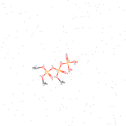 CCCCOP(=O)(OCCCC)OP(=O)(OCCCC)OP(=O)(O)O